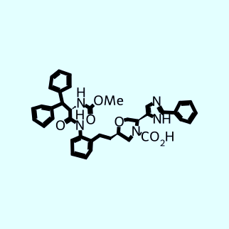 COC(=O)N[C@H](C(=O)Nc1ccccc1CC[C@@H]1CN(C(=O)O)[C@H](c2cnc(-c3ccccc3)[nH]2)CO1)C(c1ccccc1)c1ccccc1